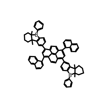 CC12CCCCC1(C)c1cc(-c3cc(-c4cccc5ccccc45)c4ccc5c(-c6ccc7c(c6)C6(C)CCCCC6(C)B7c6ccccc6)cc(-c6cccc7ccccc67)c6ccc3c4c56)ccc1B2c1ccccc1